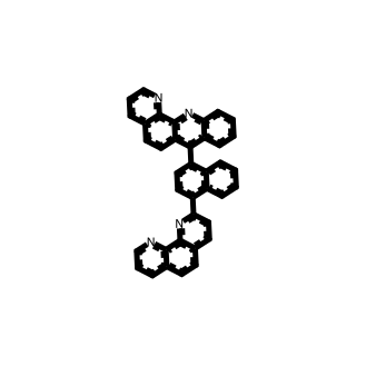 c1cnc2c(c1)ccc1ccc(-c3ccc(-c4c5ccccc5nc5c4ccc4cccnc45)c4ccccc34)nc12